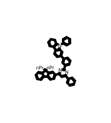 CCCC1(CCC)c2ccccc2-c2ccc(-c3cc(-c4ccccc4)nc(-c4cccc(-c5ccc6c7c(n(-c8ccccc8)c6c5)CCC=C7)c4)n3)cc21